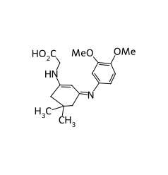 COc1ccc(N=C2C=C(NCC(=O)O)CC(C)(C)C2)cc1OC